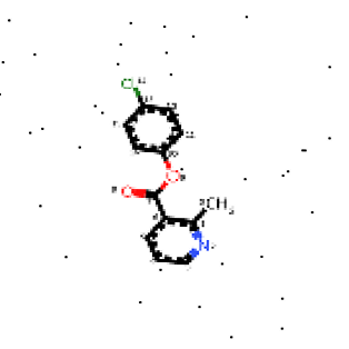 Cc1ncccc1C(=O)Oc1ccc(Cl)cc1